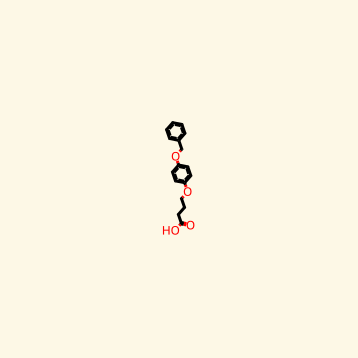 O=C(O)CCCOc1ccc(OCc2ccccc2)cc1